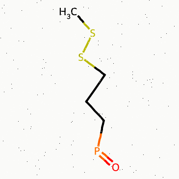 CSSCCCP=O